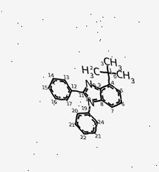 CC(C)(C)c1cccc2c1nc(-c1ccccc1)n2-c1ccccc1